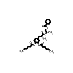 CCCCCC(=O)Oc1ccc(C[C@H](N)C(=O)O[C@@H](C)COC(=O)C2CCCCC2)cc1OC(=O)CCCCC